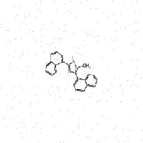 CN1NC(c2cccc3ccccc23)=NC1c1cccc2ccccc12